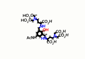 CC(=O)Nc1cc(CNC(CCN(CC(=O)O)CC(=O)O)C(=O)O)c(O)c(CNC(CCN(CC(=O)O)CC(=O)O)C(=O)O)c1